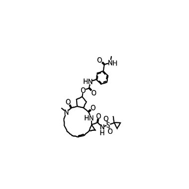 CNC(=O)c1cccc(NC(=O)OC2CC3C(=O)NC4(C(=O)NS(=O)(=O)C5(C)CC5)CC4C=CCCCCN(C)C(=O)C3C2)c1